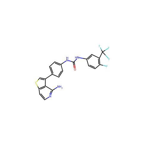 Nc1nccc2scc(-c3ccc(NC(=O)Nc4ccc(F)c(C(F)(F)F)c4)cc3)c12